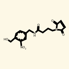 O=C(CCCN1C(=O)C=CC1=O)NCc1ccc(CO)c([N+](=O)[O-])c1